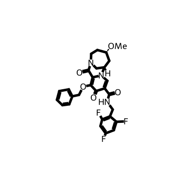 CO[C@H]1CCN2C[C@H](C1)n1cc(C(=O)NCc3c(F)cc(F)cc3F)c(=O)c(OCc3ccccc3)c1C2=O